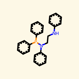 c1ccc(NCCN(c2ccccc2)P(c2ccccc2)c2ccccc2)cc1